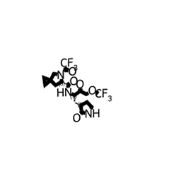 O=C1NCC[C@H]1C[C@H](NC(=O)[C@@H]1CC2(CC2)CN1C(=O)C(F)(F)F)C(=O)COC(F)(F)F